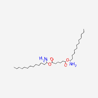 CCCCCCCCCCCCC(N)OC(=O)CCCCC(=O)OC(N)CCCCCCCCCCCC